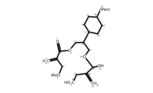 C=C(COC)C(=O)OCC(COC(O)C(=C)CC(=O)O)C1CCC(CCCCC)CC1